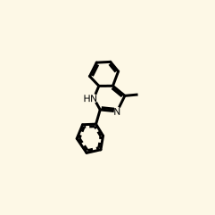 CC1=C2C=CC=CC2NC(c2ccccc2)=N1